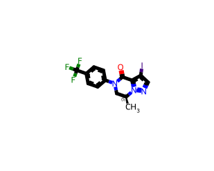 C[C@H]1CN(c2ccc(C(F)(F)F)cc2)C(=O)c2c(I)cnn21